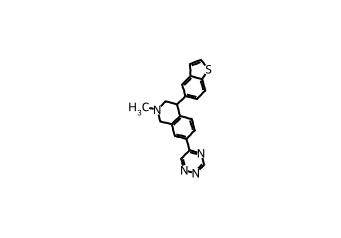 CN1Cc2cc(-c3cnncn3)ccc2C(c2ccc3sccc3c2)C1